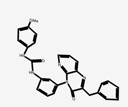 COc1ccc(NC(=O)Nc2cccc(-n3c(=O)c(Cc4ccccc4)nc4cccnc43)c2)cc1